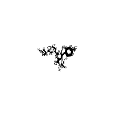 Cc1nc2c(-c3ccc(F)cc3F)nc(N3CCO[C@@H](c4cnn(C)c4)C3)nc2c(=O)n1C